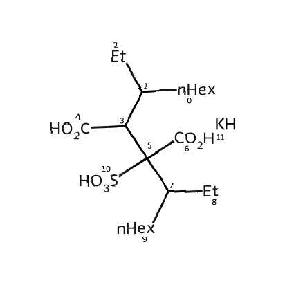 CCCCCCC(CC)C(C(=O)O)C(C(=O)O)(C(CC)CCCCCC)S(=O)(=O)O.[KH]